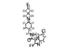 CCc1nc2ccc(Cl)cn2c1C(=O)NCc1ccc(N2CC3(CC(F)C3)C2)cc1